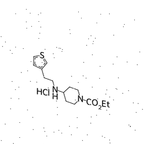 CCOC(=O)N1CCC(NCCc2ccsc2)CC1.Cl